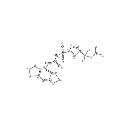 CN(C)CC(C)(C)n1ccc(S(=O)(=O)NC(=O)Nc2c3c(cc4c2CCC4)CCC3)n1